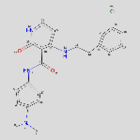 CN(C)c1ccc(NC(=O)c2c(NCCc3cccc(Cl)c3)cc[nH]c2=O)cc1